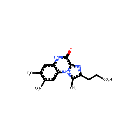 Cc1c(CCC(=O)O)nc2c(=O)[nH]c3cc(C(F)(F)F)c([N+](=O)[O-])cc3n12